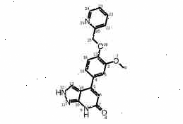 COc1cc(-c2cc(=O)[nH]c3n[nH]cc23)ccc1OCc1ccccn1